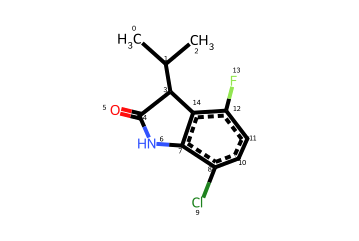 CC(C)C1C(=O)Nc2c(Cl)ccc(F)c21